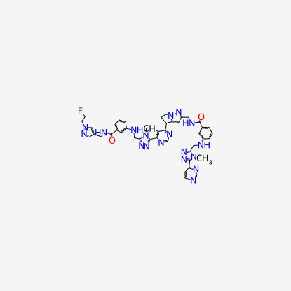 Cn1c(CNc2cccc(C(=O)NCc3cc4n(n3)CCC4c3cc(-c4nnc(CNc5cccc(C(=O)NCc6cnn(CCF)c6)c5)n4C)ncn3)c2)nnc1-c1ccncn1